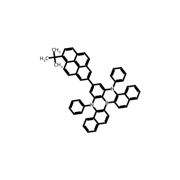 CC(C)(C)c1ccc2ccc3cc(-c4cc5c6c(c4)N(c4ccccc4)c4c(ccc7ccccc47)B6c4ccc6ccccc6c4N5c4ccccc4)cc4ccc1c2c34